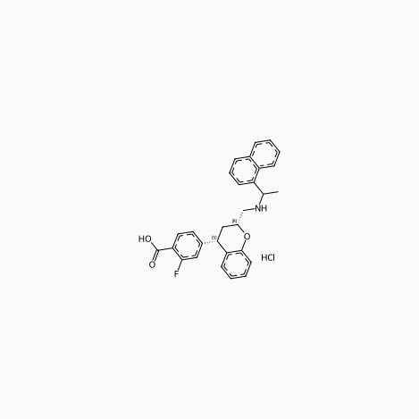 CC(NC[C@H]1C[C@@H](c2ccc(C(=O)O)c(F)c2)c2ccccc2O1)c1cccc2ccccc12.Cl